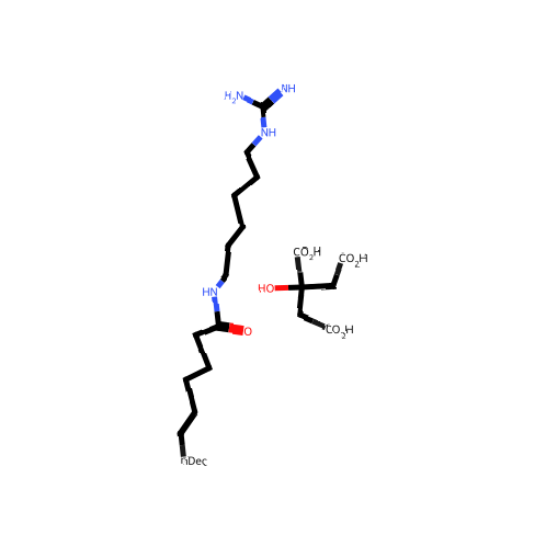 CCCCCCCCCCCCCCCC(=O)NCCCCCCNC(=N)N.O=C(O)CC(O)(CC(=O)O)C(=O)O